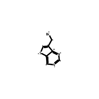 BrCc1csc2cncnc12